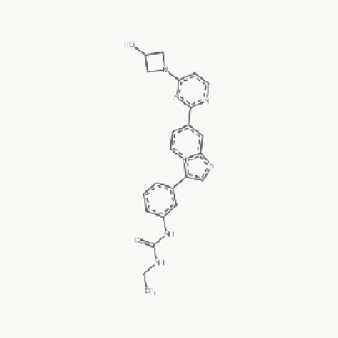 O=C(NCC(F)(F)F)Nc1cccc(-c2cnc3cc(-c4nccc(N5CC(O)C5)n4)ccn23)c1